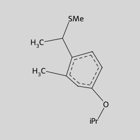 CSC(C)c1ccc(OC(C)C)cc1C